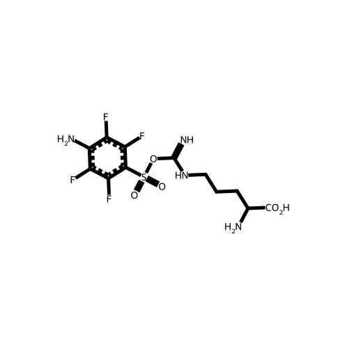 N=C(NCCCC(N)C(=O)O)OS(=O)(=O)c1c(F)c(F)c(N)c(F)c1F